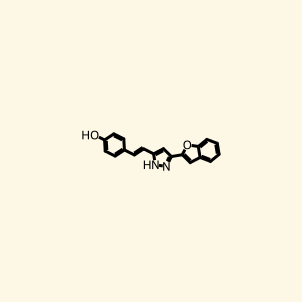 Oc1ccc(/C=C/c2cc(-c3cc4ccccc4o3)n[nH]2)cc1